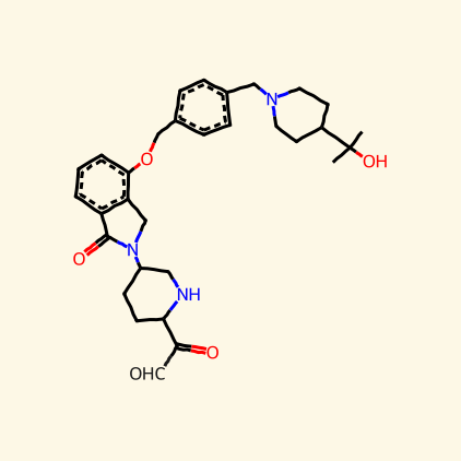 CC(C)(O)C1CCN(Cc2ccc(COc3cccc4c3CN(C3CCC(C(=O)C=O)NC3)C4=O)cc2)CC1